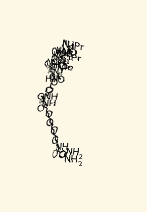 CC[C@H](C)[C@@H]([C@@H](CC(=O)N1CCC[C@H]1[C@H](OC)[C@@H](C)C(=O)N[C@@H](Cc1ccccc1)C(=O)NOCc1ccc(NC(=O)[C@@H](C)NC(=O)CCOCCOCCOCCOCCNC(=O)c2ccc(N)c(N)c2)cc1)OC)N(C)C(=O)[C@@H](NC(=O)[C@H](C(C)C)N(C)C)C(C)C